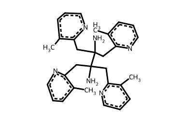 Cc1cccnc1CC(N)(Cc1ncccc1C)C(N)(Cc1ncccc1C)Cc1ncccc1C